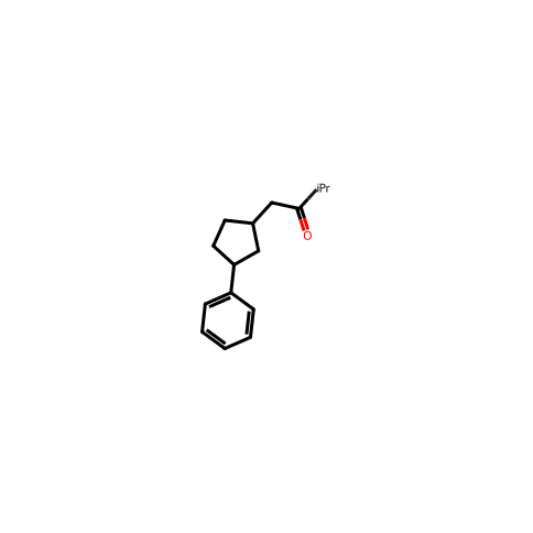 CC(C)C(=O)CC1CCC(c2ccccc2)C1